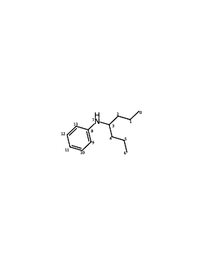 CCCC(CCC)Nc1ccccc1